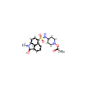 CCN1C(=O)c2cccc3c(S(=O)(=O)NC4CCN(OC(=O)C(C)(C)C)CC4)ccc1c23